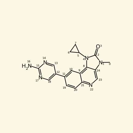 Cn1c(=O)n(C2CC2)c2c3cc(-c4cnc(N)nc4)ccc3ncc21